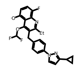 CCc1nc2c(F)ccc([O])c2c(OC(F)F)c1Cc1ccc(-n2ccc(C3CC3)n2)cc1